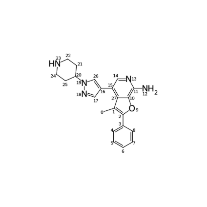 Cc1c(-c2ccccc2)oc2c(N)ncc(-c3cnn(C4CCNCC4)c3)c12